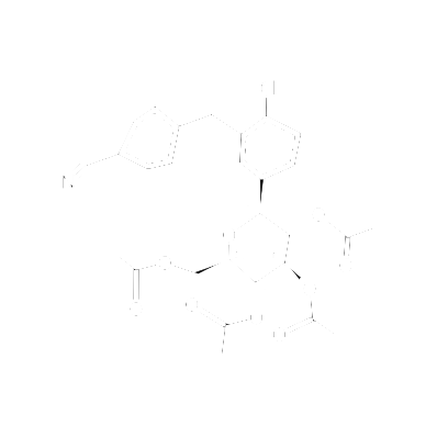 CC(=O)OC[C@H]1O[C@@H](c2ccc(Cl)c(Cc3ccc(C#N)cc3)c2)[C@H](OC(C)=O)[C@@H](OC(C)=O)[C@@H]1OC(C)=O